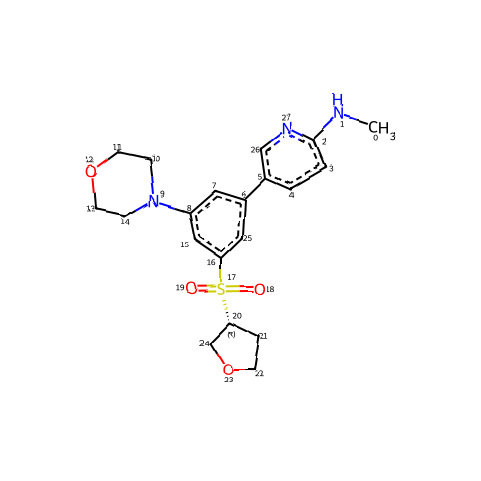 CNc1ccc(-c2cc(N3CCOCC3)cc(S(=O)(=O)[C@@H]3CCOC3)c2)cn1